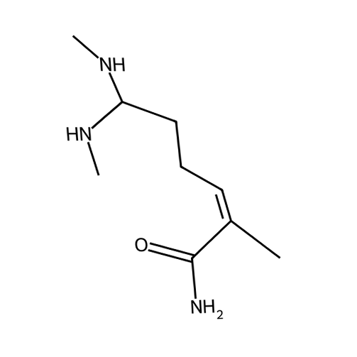 CNC(CCC=C(C)C(N)=O)NC